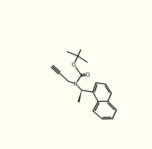 C#CCN(C(=O)OC(C)(C)C)[C@H](C)c1cccc2ccccc12